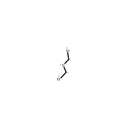 [CH2]CCOCC[CH2]